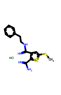 CSc1cc(C(=N)NCCc2ccccc2)c(C(=N)N)s1.Cl